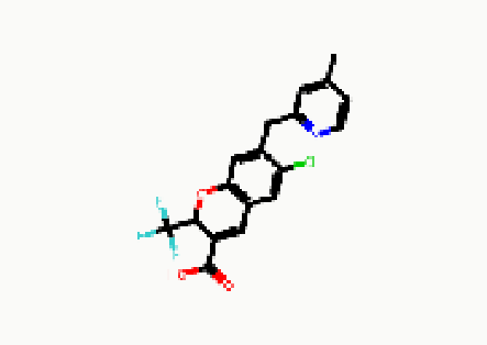 Cc1ccnc(Cc2cc3c(cc2Cl)C=C(C(=O)O)C(C(F)(F)F)O3)c1